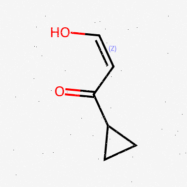 O=C(/C=C\O)C1CC1